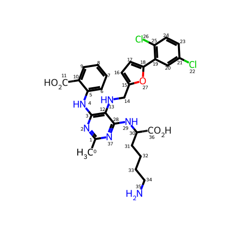 Cc1nc(Nc2ccccc2C(=O)O)c(NCc2ccc(-c3cc(Cl)ccc3Cl)o2)c(NC(CCCCN)C(=O)O)n1